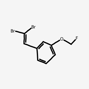 FCOc1cccc(C=C(Br)Br)c1